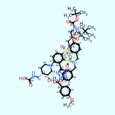 COc1ccc(CN(Cc2ccc(OC)cc2)S(=O)(=O)c2c(S(=O)(=O)NC[C@@H](CNC(=O)OC(C)(C)C)O[Si](C)(C)C(C)(C)C)ccc(N3CC[C@@H](CNC(=O)O)[C@@H](O)C3)c2-c2nnn(Cc3ccc(OC)cc3)n2)cc1